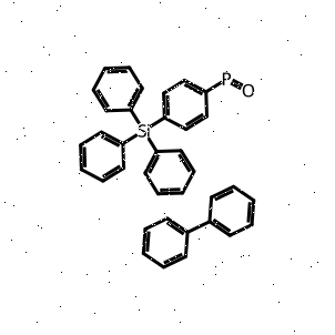 O=Pc1ccc([Si](c2ccccc2)(c2ccccc2)c2ccccc2)cc1.c1ccc(-c2ccccc2)cc1